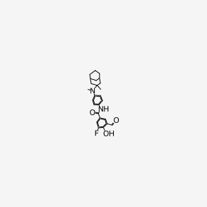 CN(c1ccc(NC(=O)c2cc(F)c(O)c(C=O)c2)cc1)C1(C)CC2CCCC(C2)C1